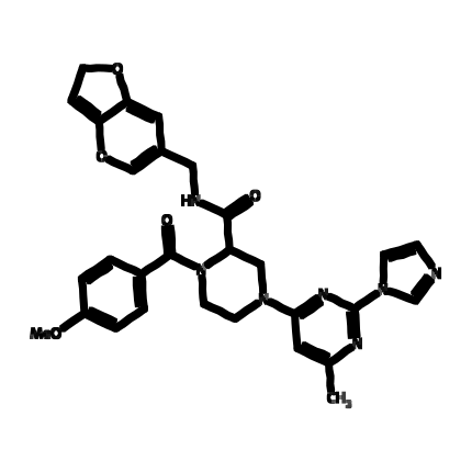 COc1ccc(C(=O)N2CCN(c3cc(C)nc(-n4ccnc4)n3)CC2C(=O)NCC2=COC3=CCOC3=C2)cc1